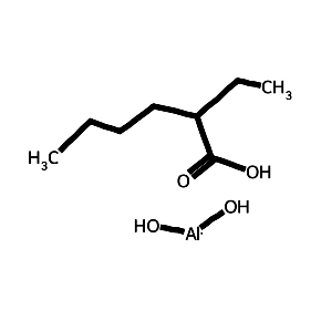 CCCCC(CC)C(=O)O.[OH][Al][OH]